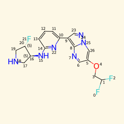 FC(F)COc1cnc2c(-c3cccc(N[C@H]4CNC[C@@H]4F)n3)cnn2c1